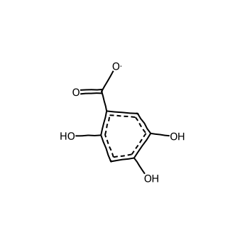 [O]C(=O)c1cc(O)c(O)cc1O